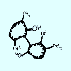 Oc1ccc(P)c(O)c1-c1c(O)ccc(P)c1O